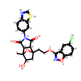 CC12OC(CCOc3noc4ccc(Cl)cc34)(CC1O)C1C(=O)N(c3ccc4ncsc4c3)C(=O)C12